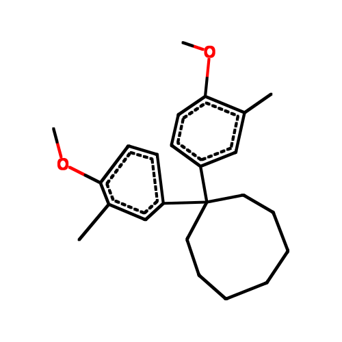 COc1ccc(C2(c3ccc(OC)c(C)c3)CCCCCCC2)cc1C